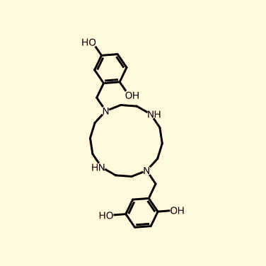 Oc1ccc(O)c(CN2CCCNCCN(Cc3cc(O)ccc3O)CCCNCC2)c1